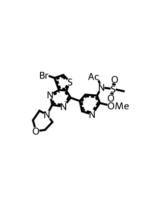 COc1ncc(-c2nc(N3CCOCC3)nc3c(Br)csc23)cc1N(C(C)=O)S(C)(=O)=O